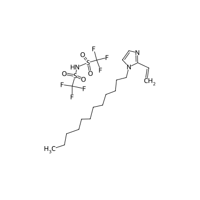 C=Cc1nccn1CCCCCCCCCCCC.O=S(=O)(NS(=O)(=O)C(F)(F)F)C(F)(F)F